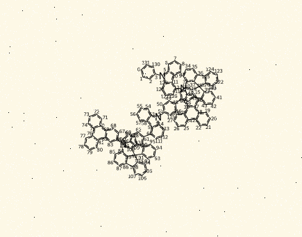 c1ccc(-n2c3ccccc3c3c(N(c4ccc5c6ccccc6c6ccccc6c5c4)c4cccc5c4C4(c6ccccc6-c6cc(-c7ccc(-n8c9ccccc9c9c(-c%10ccc(N(c%11ccc%12c%13ccccc%13c%13ccccc%13c%12c%11)c%11cccc%12c%11C%11(c%13ccccc%13-c%13ccccc%13%11)c%11ccccc%11-%12)cc%10)cccc98)cc7)ccc64)c4ccccc4-5)cccc32)cc1